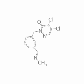 C/N=C/c1cccc(Cn2ncc(Cl)c(Cl)c2=O)c1